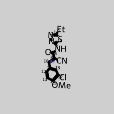 CCc1nnc(NC(=O)/C(C#N)=C/c2ccc(OC)c(Cl)c2)s1